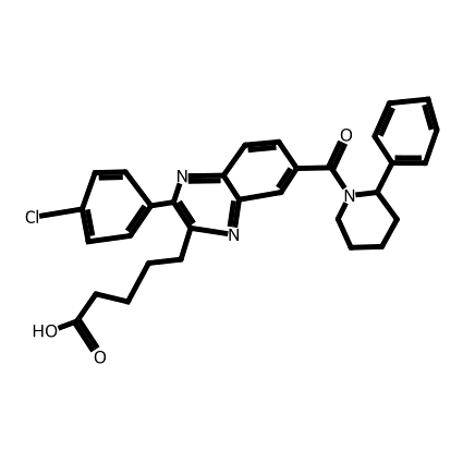 O=C(O)CCCCc1nc2cc(C(=O)N3CCCCC3c3ccccc3)ccc2nc1-c1ccc(Cl)cc1